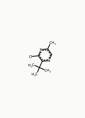 Cc1cnc(C(C)(C)C)c(Cl)n1